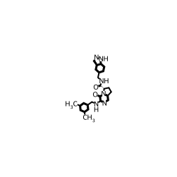 Cc1cc(C)cc(CNc2ncc3n(c2=O)[C@H](C(=O)NCc2ccc4[nH]ncc4c2)CC3)c1